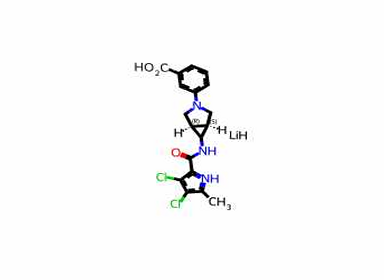 Cc1[nH]c(C(=O)NC2[C@H]3CN(c4cccc(C(=O)O)c4)C[C@@H]23)c(Cl)c1Cl.[LiH]